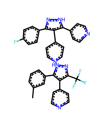 Cc1cccc(-c2[nH]nc(C(F)(F)F)c2-c2ccncc2)c1.Fc1ccc(-c2n[nH]c(-c3ccncc3)c2-c2ccncc2)cc1